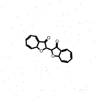 O=C1C2=CC=CC=CC2OC1C1OC2C=CC=CC=C2C1=O